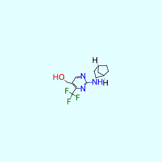 OCc1cnc(N[C@@H]2C[C@H]3CC[C@@H]2C3)nc1C(F)(F)F